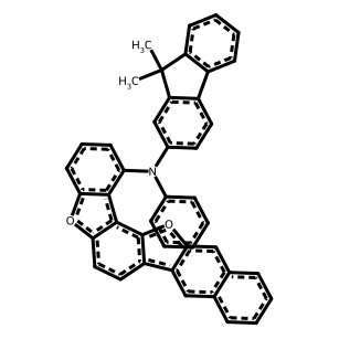 CC1(C)c2ccccc2-c2ccc(N(c3ccccc3)c3cccc4oc5ccc6c7cc8ccccc8cc7oc6c5c34)cc21